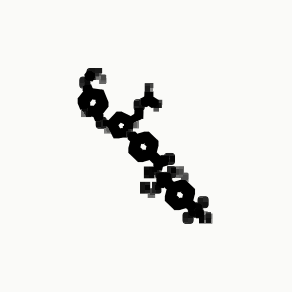 BC(B)(NC(=O)c1ccc(N2C[C@@H](Oc3ccc(OC(F)(F)F)cn3)C[C@H]2COC(F)F)cc1)c1ccc(S(=O)(=O)CC)cc1